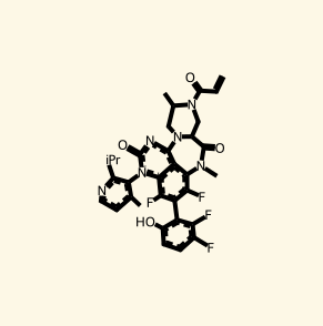 C=CC(=O)N1CC2C(=O)N(C)c3c(F)c(-c4c(O)ccc(F)c4F)c(F)c4c3c(nc(=O)n4-c3c(C)ccnc3C(C)C)N2CC1C